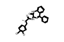 C[C@@H](Cc1ccc(Cl)c(Cl)c1)C(=O)NC1N=C(c2ccccc2)c2ccccc2NC1=O